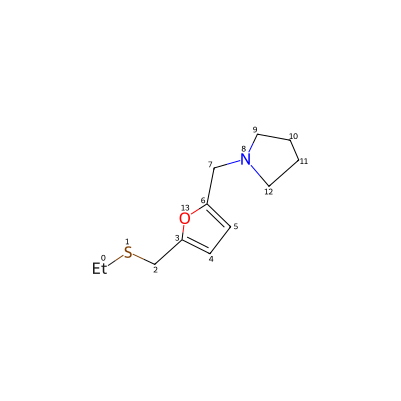 [CH2]CSCc1ccc(CN2CCCC2)o1